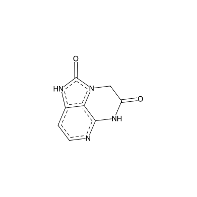 O=C1Cn2c(=O)[nH]c3ccnc(c32)N1